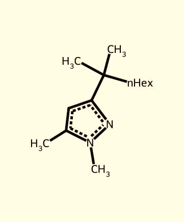 CCCCCCC(C)(C)c1cc(C)n(C)n1